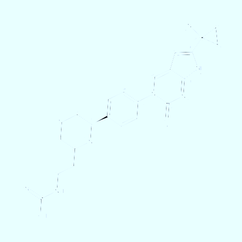 CC(=N)NCCC1CCC[C@@H](c2ccc(-n3cc4cc(C5(N)CC5)[nH]c4nc3=O)cc2)N1